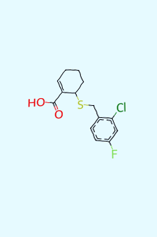 O=C(O)C1=CCCCC1SCc1ccc(F)cc1Cl